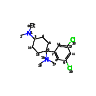 CCN(C)C1CCC(c2cc(Cl)cc(Cl)c2)(N(C)C)CC1